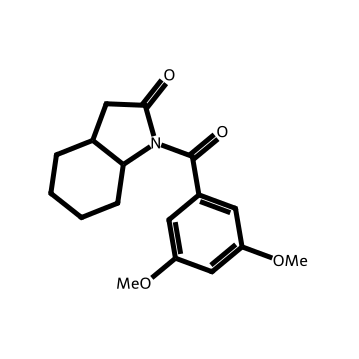 COc1cc(OC)cc(C(=O)N2C(=O)CC3CCCCC32)c1